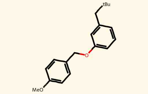 COc1ccc(COc2cccc(CC(C)(C)C)c2)cc1